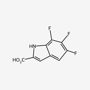 O=C(O)c1cc2cc(F)c(F)c(F)c2[nH]1